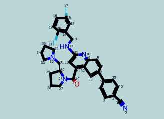 N#Cc1ccc(-c2ccc3nc(NCc4cc(F)ccc4F)cc(C(=O)N4CCC[C@H]4CN4CCCC4)c3c2)cc1